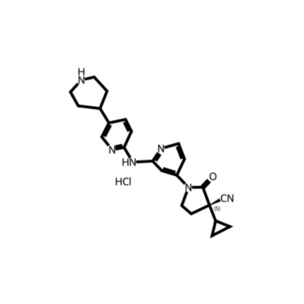 Cl.N#C[C@@]1(C2CC2)CCN(c2ccnc(Nc3ccc(C4CCNCC4)cn3)c2)C1=O